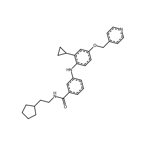 O=C(NCCC1CCCC1)c1cccc(Nc2ccc(OCc3ccncc3)cc2C2CC2)c1